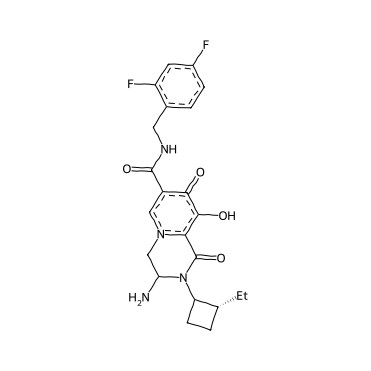 CC[C@@H]1CCC1N1C(=O)c2c(O)c(=O)c(C(=O)NCc3ccc(F)cc3F)cn2CC1N